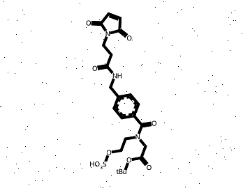 CC(C)(C)OC(=O)CN(CCOS(=O)(=O)O)C(=O)c1ccc(CNC(=O)CCN2C(=O)C=CC2=O)cc1